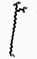 CCCCCCCCCCCCCCCCCCCCCC[SH](CCC(=O)O)CCC(=O)O